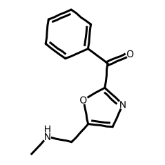 CNCc1cnc(C(=O)c2ccccc2)o1